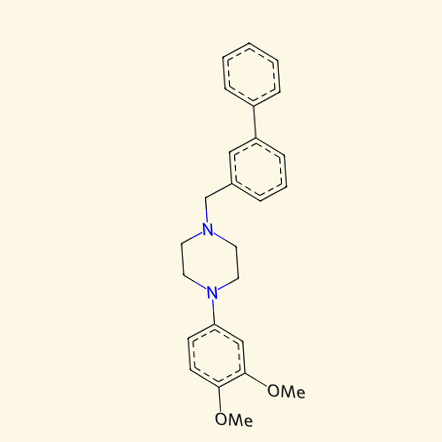 COc1ccc(N2CCN(Cc3cccc(-c4ccccc4)c3)CC2)cc1OC